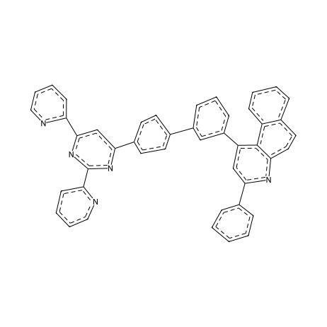 c1ccc(-c2cc(-c3cccc(-c4ccc(-c5cc(-c6ccccn6)nc(-c6ccccn6)n5)cc4)c3)c3c(ccc4ccccc43)n2)cc1